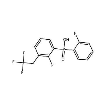 O=P(O)(c1ccccc1F)c1cccc(CC(F)(F)F)c1F